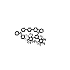 [2H]c1c([2H])c([2H])c(-c2cc(-c3c([2H])c([2H])c([2H])c([2H])c3[2H])cc(-n3c4ccccc4c4ccc(-c5ccc(-c6cccc(N(c7ccccc7)c7ccccc7)c6)cc5)cc43)c2)c([2H])c1[2H]